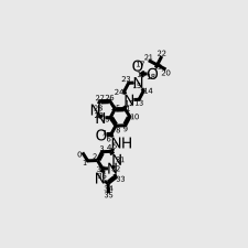 CCc1cc(NC(=O)c2ccc(N3CCN(C(=O)OC(C)(C)C)CC3)c3ccnnc23)nn2cc(C)nc12